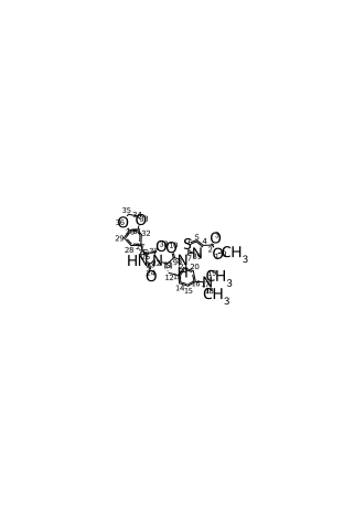 COC(=O)c1csc(NC(=O)[C@H](Cc2ccc(N(C)C)cc2)N2C(=O)N[C@@H](c3ccc4c(c3)OCCO4)C2=O)n1